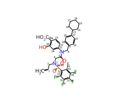 C=CCN(CC(=O)N(Cc1ccc(C2CCCCC2)cc1)c1ccc(C(=O)O)c(O)c1)S(=O)(=O)c1c(F)c(F)c(F)c(F)c1F